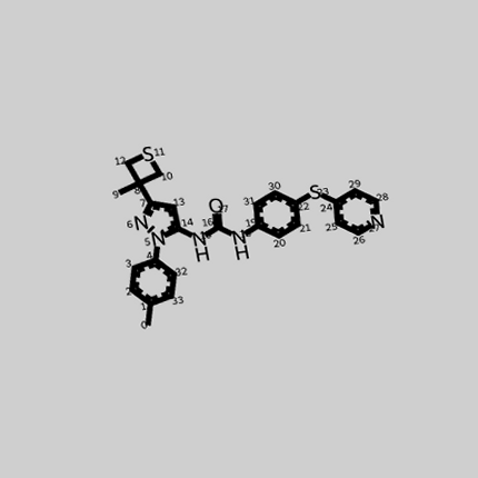 Cc1ccc(-n2nc(C3(C)CSC3)cc2NC(=O)Nc2ccc(Sc3ccncc3)cc2)cc1